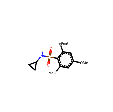 CCCCCc1cc(OC)cc(OC)c1S(=O)(=O)NC1CC1